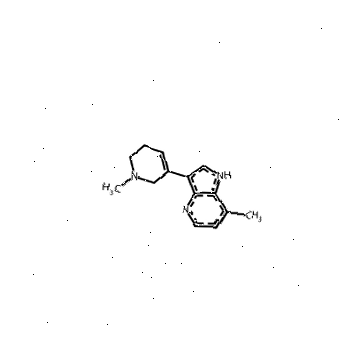 Cc1ccnc2c(C3=CCCN(C)C3)c[nH]c12